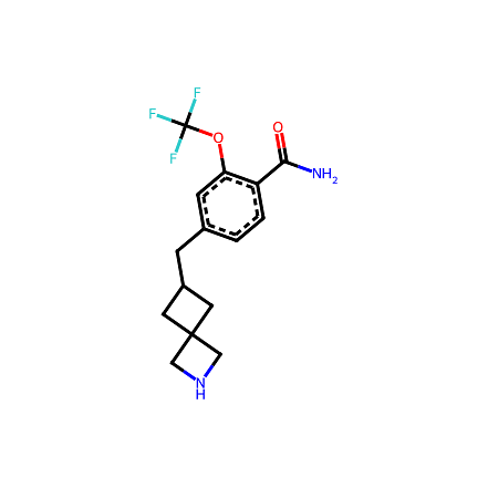 NC(=O)c1ccc(CC2CC3(CNC3)C2)cc1OC(F)(F)F